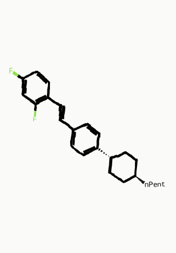 CCCCC[C@H]1CC[C@H](c2ccc(C=Cc3ccc(F)cc3F)cc2)CC1